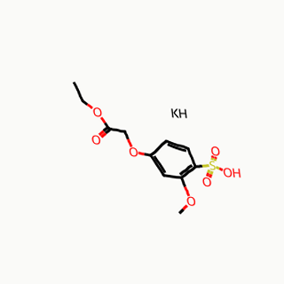 CCOC(=O)COc1ccc(S(=O)(=O)O)c(OC)c1.[KH]